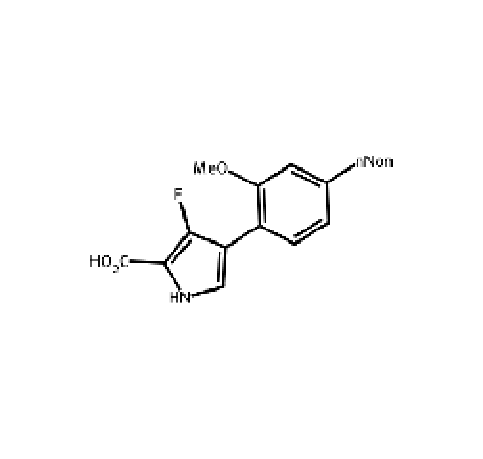 CCCCCCCCCc1ccc(-c2c[nH]c(C(=O)O)c2F)c(OC)c1